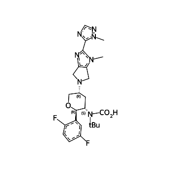 Cn1ncnc1-c1nc2c(n1C)CN([C@H]1CO[C@H](c3cc(F)ccc3F)[C@@H](N(C(=O)O)C(C)(C)C)C1)C2